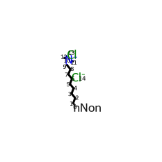 CCCCCCCCCCCCCCCCCC[N+](C)(C)Cl.[Cl-]